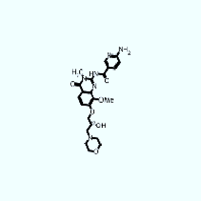 COc1c(OC[C@H](O)CN2CCOCC2)ccc2c(=O)n(C)c(NC(=O)c3ccc(N)nc3)nc12